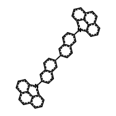 c1cc2ccc3cccc4c3c2c(c1)n4-c1ccc2cc(-c3ccc4cc(-n5c6cccc7ccc8cccc5c8c76)ccc4c3)ccc2c1